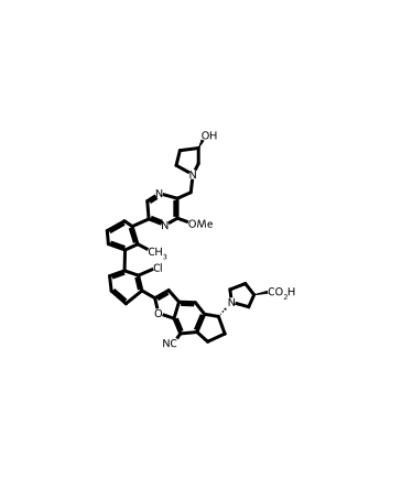 COc1nc(-c2cccc(-c3cccc(-c4cc5cc6c(c(C#N)c5o4)CC[C@H]6N4CC[C@@H](C(=O)O)C4)c3Cl)c2C)cnc1CN1CC[C@@H](O)C1